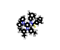 CC1c2cc3sc4c(c3cc2C2(C)CCC1C2)N(c1ccc2c(c1)C(C)(C)CCC2(C)C)c1cc(N2c3ccccc3C3(C)CCCCC23C)cc2c1B4c1cc(C(C)(C)C)ccc1N2c1cc(C(C)(C)C)cc(C(C)(C)C)c1